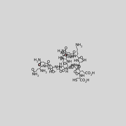 CC[C@H](C)[C@H](NC(=O)[C@H](CS)NC(=O)[C@H](CCCCN)NC(=O)[C@H](CCC(N)=O)NC(=O)[C@@H](NC(=O)[C@@H](NC(=O)[C@H](CCCNC(=N)N)NC(=O)[C@H](CO)NC(=O)CNC(=O)[C@H](CC(N)=O)NC(=O)[C@@H](N)CCC(N)=O)C(C)C)C(C)C)C(=O)N[C@@H](CCC(=O)O)C(=O)N[C@@H](CS)C(=O)O